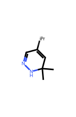 CC(C)C1=CC(C)(C)NN=C1